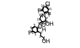 OCCCc1cc(F)ccc1OCC1(O)CCN(c2c(F)cc(Cl)cc2F)C[C@H]1O